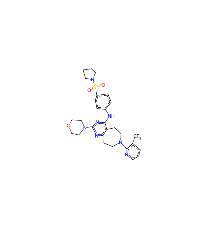 O=S(=O)(c1ccc(Nc2nc(N3CCOCC3)nc3c2CCN(c2ncccc2C(F)(F)F)CC3)cc1)N1CCCC1